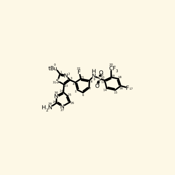 CC(C)(C)c1nc(-c2cccc(NS(=O)(=O)c3ccc(F)cc3C(F)(F)F)c2F)c(-c2ccnc(N)n2)s1